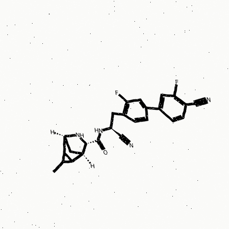 CC1C2C1[C@H]1C[C@@H]2N[C@@H]1C(=O)N[C@H](C#N)Cc1ccc(-c2ccc(C#N)c(F)c2)cc1F